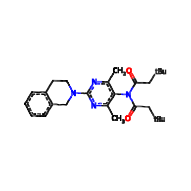 Cc1nc(N2CCc3ccccc3C2)nc(C)c1N(C(=O)CC(C)(C)C)C(=O)CC(C)(C)C